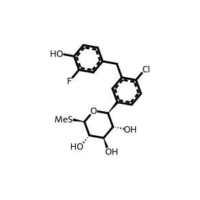 CS[C@H]1O[C@@H](c2ccc(Cl)c(Cc3ccc(O)c(F)c3)c2)[C@H](O)[C@@H](O)[C@@H]1O